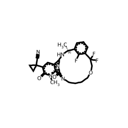 C[C@H]1Nc2nc(=O)n(c3c2cc(C2(C#N)CC2)c(=O)n3C)CCCCOCC(F)(F)c2cccc1c2F